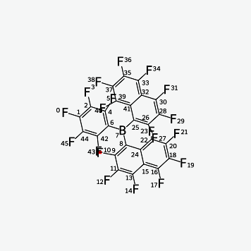 Fc1c(F)c(F)c(B(c2c(F)c(F)c(F)c3c(F)c(F)c(F)c(F)c23)c2c(F)c(F)c(F)c3c(F)c(F)c(F)c(F)c23)c(F)c1F